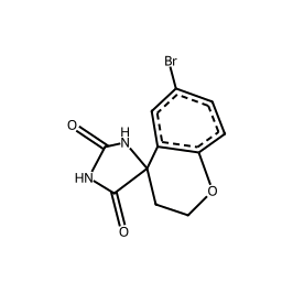 O=C1NC(=O)C2(CCOc3ccc(Br)cc32)N1